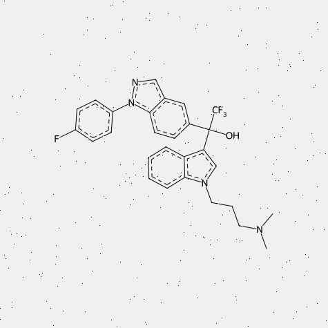 CN(C)CCCn1cc(C(O)(c2ccc3c(cnn3-c3ccc(F)cc3)c2)C(F)(F)F)c2ccccc21